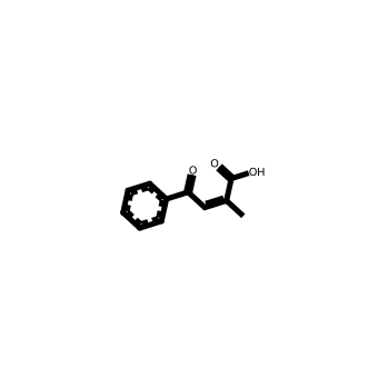 CC(=CC(=O)c1ccccc1)C(=O)O